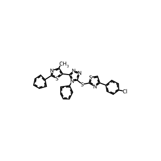 Cc1nc(-c2ccccc2)sc1-c1nnc(Sc2nc(-c3ccc(Cl)cc3)cs2)n1-c1ccccc1